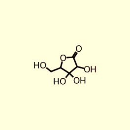 O=C1OC(CO)C(O)(O)C1O